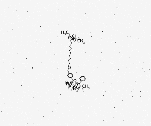 CCO[Si](C)(CCCCCCCCCCCOCc1ccc(C(C)ON(C(c2ccccc2)C(C)C)C(C)(C)C)cc1)OCC